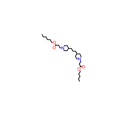 CCCCCCOC(=O)CCN1CCC(CCCC2CCN(CCC(=O)OCCCCC)CC2)CC1